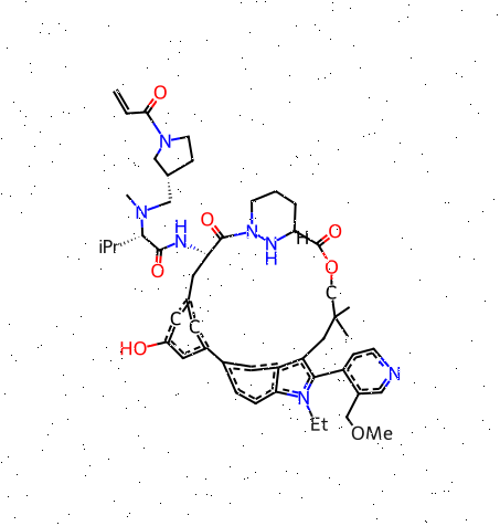 C=CC(=O)N1CC[C@H](CN(C)[C@H](C(=O)N[C@H]2Cc3cc(O)cc(c3)-c3ccc4c(c3)c(c(-c3ccncc3COC)n4CC)CC(C)(C)COC(=O)[C@@H]3CCCN(N3)C2=O)C(C)C)C1